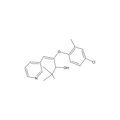 Cc1cc(Cl)ccc1OC(=Cc1cccnc1)C(O)C(C)(C)C